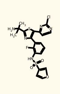 CC(C)(N)c1nc(-c2cccc(NS(=O)(=O)c3ccoc3)c2F)c(-c2ccnc(Cl)n2)s1